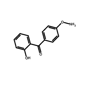 NOc1ccc(C(=O)c2ccccc2O)cc1